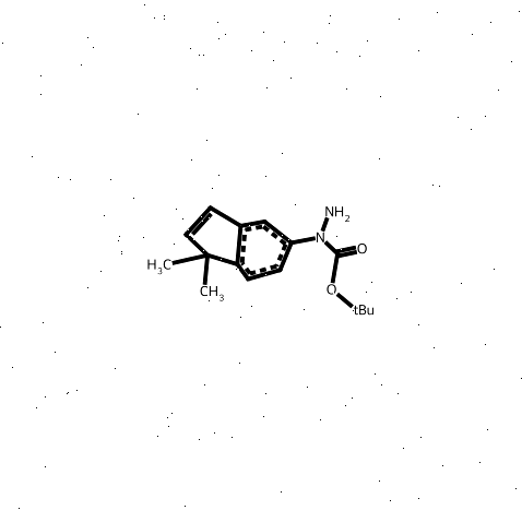 CC(C)(C)OC(=O)N(N)c1ccc2c(c1)C=CC2(C)C